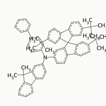 CC(C)(C)c1ccc2c(c1)C1(c3cc(N(c4ccc(-c5ccccc5)cc4)c4ccc5c(c4)C(C)(C)c4ccccc4-5)ccc3-2)c2cc(C(C)(C)C)ccc2-c2ccc(C(C)(C)C)cc21